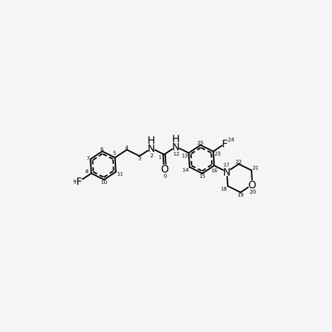 O=C(NCCc1ccc(F)cc1)Nc1ccc(N2CCOCC2)c(F)c1